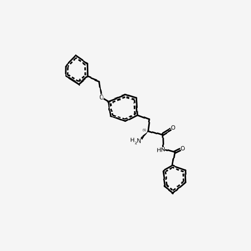 N[C@@H](Cc1ccc(OCc2ccccc2)cc1)C(=O)NC(=O)c1ccccc1